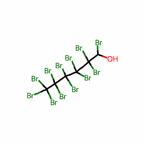 OC(Br)C(Br)(Br)C(Br)(Br)C(Br)(Br)C(Br)(Br)C(Br)(Br)Br